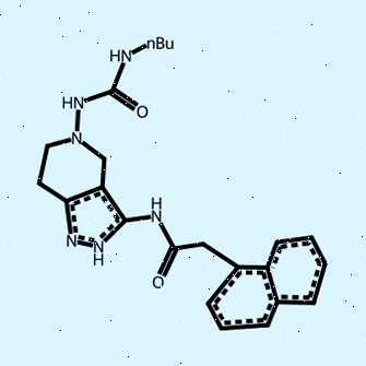 CCCCNC(=O)NN1CCc2n[nH]c(NC(=O)Cc3cccc4ccccc34)c2C1